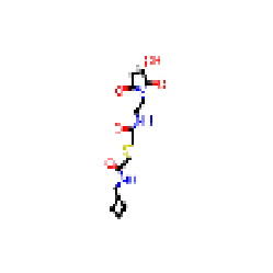 O=C(CSCC(=O)NCC1CCC1)NCCN1C(=O)C[C@@H](O)C1=O